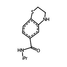 CC(C)NC(=O)c1ccc2c(c1)NCCS2